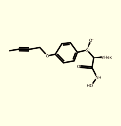 CC#CCOc1ccc([S@@+]([O-])[C@@H](CCCCCC)C(=O)NO)cc1